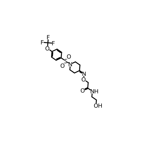 O=C(CON=C1CCN(S(=O)(=O)c2ccc(OC(F)(F)F)cc2)CC1)NCCO